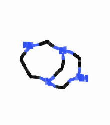 C1CN2CNCN(CN1)C2